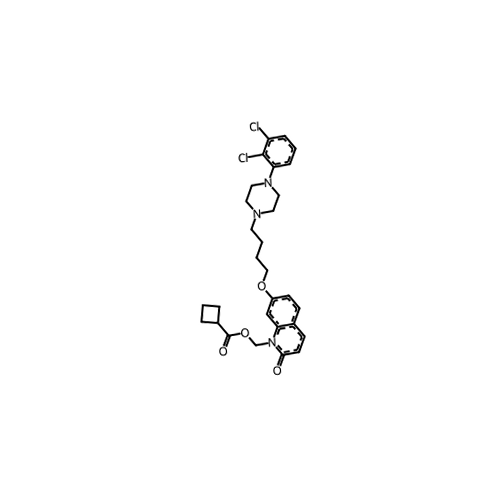 O=C(OCn1c(=O)ccc2ccc(OCCCCN3CCN(c4cccc(Cl)c4Cl)CC3)cc21)C1CCC1